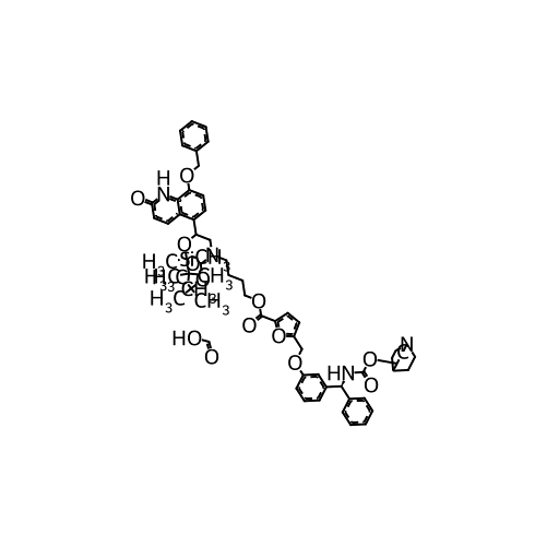 CC(C)(C)OC(=O)N(CCCCOC(=O)c1ccc(COc2cccc([C@@H](NC(=O)OC3CN4CCC3CC4)c3ccccc3)c2)o1)CC(O[Si](C)(C)C(C)(C)C)c1ccc(OCc2ccccc2)c2[nH]c(=O)ccc12.O=CO